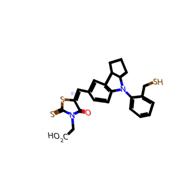 O=C(O)CN1C(=O)/C(=C\c2ccc3c(c2)C2CCCC2N3c2ccccc2CS)SC1=S